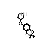 FC1(F)Oc2ccc(OC3CCNC3)cc2O1